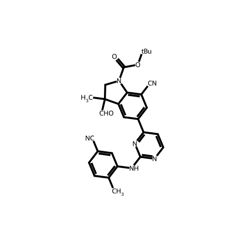 Cc1ccc(C#N)cc1Nc1nccc(-c2cc(C#N)c3c(c2)C(C)(C=O)CN3C(=O)OC(C)(C)C)n1